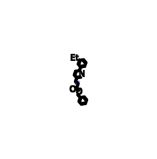 CCc1cccc(-c2ccc(/C=C/C(=O)OCc3ccccc3)cn2)c1